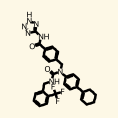 O=C(Nc1nn[nH]n1)c1ccc(CN(C(=O)NCc2ccccc2C(F)(F)F)c2ccc(C3=CCCCC3)cc2)cc1